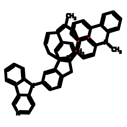 C/C1=C(c2ccc3c(c2)-c2cc(-n4c5ccccc5c5cnccc54)ccc2C3)\C=C/CCSc2ccc(N(C)c3ccccc3-c3cccc(C)c3)cc2C1